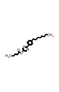 CC/C=C/C(=O)Oc1cnc(-c2ccc(CCCCCCCC)cc2)nc1